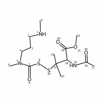 CNCCCN(C)C(=O)SSC(C)(C)C(NC(C)=O)C(=O)OC